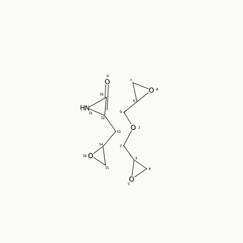 C(OCC1CO1)C1CO1.O=C1NC1CC1CO1